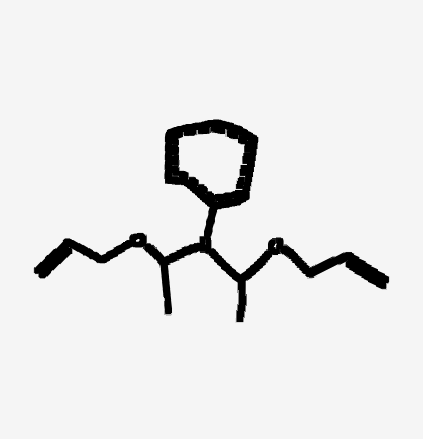 C=CCOC(C)N(c1ccccc1)C(C)OCC=C